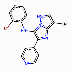 N#Cc1c[nH]n2c(Nc3ccccc3Br)c(-c3ccncc3)nc12